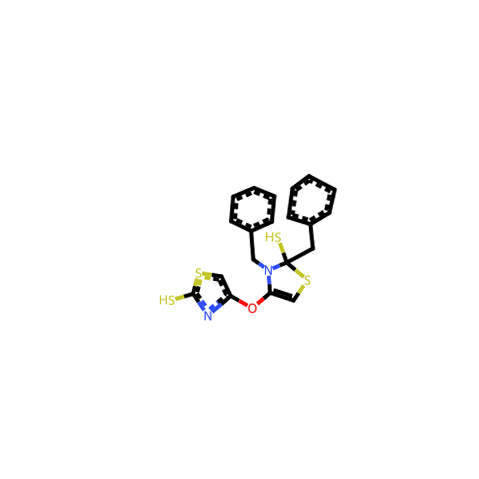 Sc1nc(OC2=CSC(S)(Cc3ccccc3)N2Cc2ccccc2)cs1